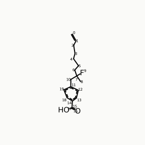 C=CCCCCCC(C)(F)Cc1ccc(C(=O)O)cc1